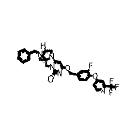 O=c1nc(OCc2ccc(Oc3ccnc(C(F)(F)F)c3)c(F)c2)cc2n1C[C@@]13C[C@@H](CN21)N(Cc1ccccc1)C3